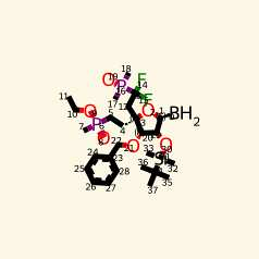 B[C@@H]1O[C@](CCP(C)(=O)OCC)(CC(F)(F)P(C)(C)=O)[C@H](OCc2ccccc2)C1O[Si](C)(C)C(C)(C)C